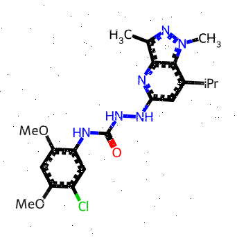 COc1cc(OC)c(NC(=O)NNc2cc(C(C)C)c3c(n2)c(C)nn3C)cc1Cl